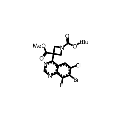 COC(=O)C1(c2ncnc3c(F)c(Br)c(Cl)cc23)CN(C(=O)OC(C)(C)C)C1